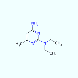 CCN(CC)c1nc(C)cc(N)n1